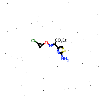 CCOC(=O)C(=NOC1CC1Cl)c1csc(N)n1